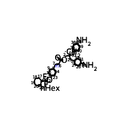 [CH2]C(COC(=O)/C=C/c1ccc(OC(F)(F)C2CCCCC2CCCCCC)cc1)(Cc1ccc(N)cc1)Cc1ccc(N)cc1